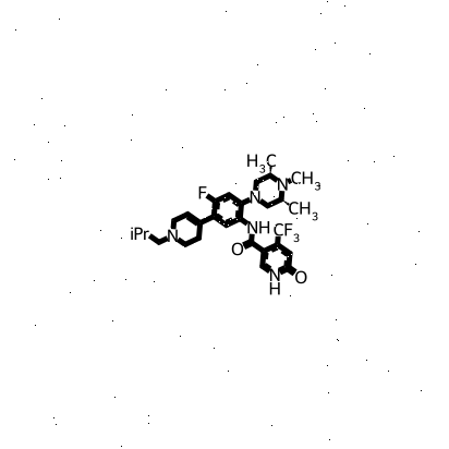 CC(C)CN1CC=C(c2cc(NC(=O)c3c[nH]c(=O)cc3C(F)(F)F)c(N3C[C@@H](C)N(C)[C@@H](C)C3)cc2F)CC1